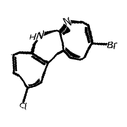 Clc1c[c]c2[nH]c3ncc(Br)cc3c2c1